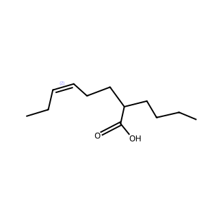 CC/C=C\CCC(CCCC)C(=O)O